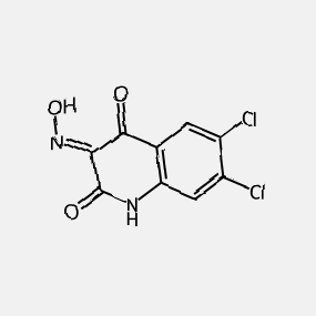 O=C1Nc2cc(Cl)c(Cl)cc2C(=O)C1=NO